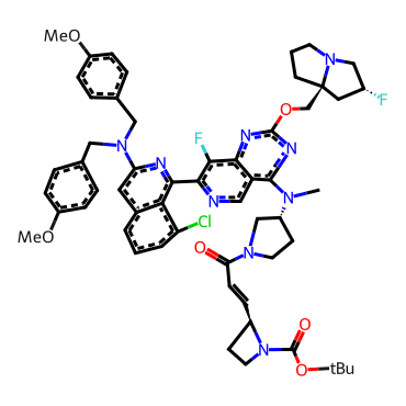 COc1ccc(CN(Cc2ccc(OC)cc2)c2cc3cccc(Cl)c3c(-c3ncc4c(N(C)[C@@H]5CCN(C(=O)/C=C/[C@@H]6CCN6C(=O)OC(C)(C)C)C5)nc(OC[C@@]56CCCN5C[C@H](F)C6)nc4c3F)n2)cc1